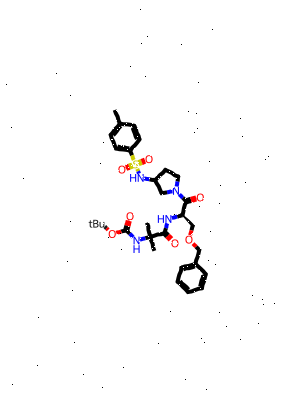 Cc1ccc(S(=O)(=O)NC2CCN(C(=O)[C@@H](COCc3ccccc3)NC(=O)C(C)(C)NC(=O)OC(C)(C)C)C2)cc1